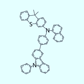 CC1(C)c2ccccc2Sc2cc(N(c3ccc(-c4ccc5c(c4)c4ccccc4n5-c4ccccc4)cc3)c3cccc4ccccc34)ccc21